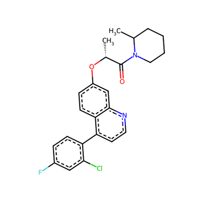 CC1CCCCN1C(=O)[C@@H](C)Oc1ccc2c(-c3ccc(F)cc3Cl)ccnc2c1